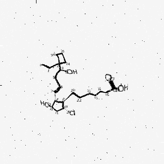 CCC1([C@@H](O)C/C=C/[C@@H]2[C@@H](CCCCCCC(=O)O)[C@H](Cl)C[C@H]2O)CCC1